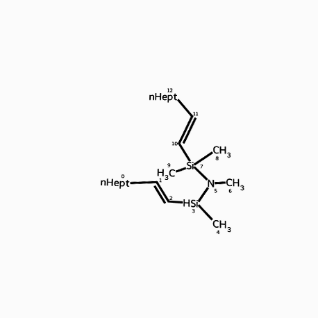 CCCCCCC/C=C/[SiH](C)N(C)[Si](C)(C)/C=C/CCCCCCC